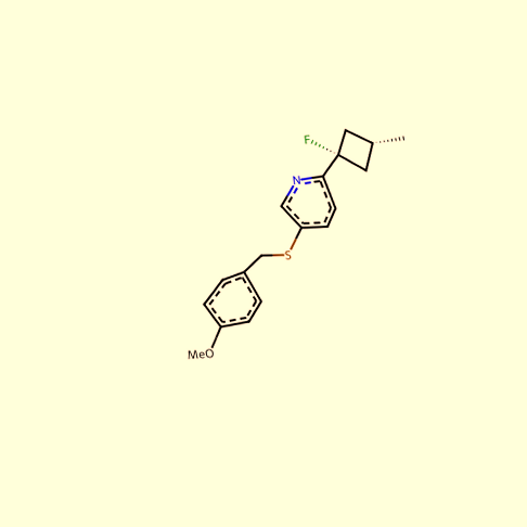 COc1ccc(CSc2ccc([C@]3(F)C[C@@H](C)C3)nc2)cc1